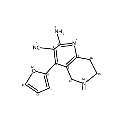 N#Cc1c(N)nc2c(c1-c1ccco1)CNCC2